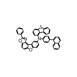 c1ccc(-c2nc3c(ccc4oc5ccc(N(c6ccc(-c7cccc8ccccc78)cc6)c6cccc7sc8ccccc8c67)cc5c43)o2)cc1